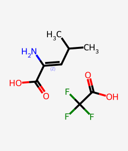 CC(C)/C=C(\N)C(=O)O.O=C(O)C(F)(F)F